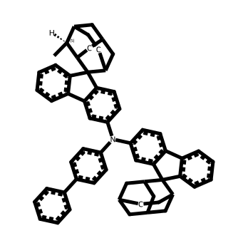 C[C@H]1C2CCC3CC(C2)CC1C31c2ccccc2-c2cc(N(c3ccc(-c4ccccc4)cc3)c3ccc4c(c3)C3(c5ccccc5-4)C4CCC5CC(C4)CC3C5)ccc21